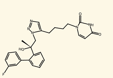 C[C@@](O)(Cn1nncc1CCCCn1ccc(=O)[nH]c1=O)c1ccccc1-c1cccc(F)c1